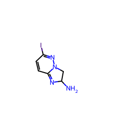 NC1CN2N=C(I)C=CC2=N1